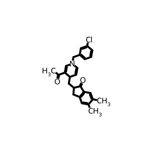 CC(=O)C1=CN(Cc2cccc(Cl)c2)C=CC1CC1Cc2cc(C)c(C)cc2C1=O